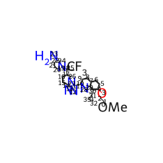 COCCOc1ccc2ccc(-c3nnc4ccc([C@@H](N5CC[C@H](N)C5)C(F)(F)F)cn34)nc2c1C1CC1